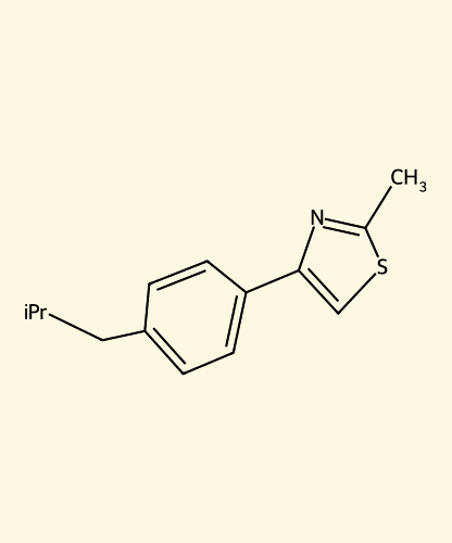 Cc1nc(-c2ccc(CC(C)C)cc2)cs1